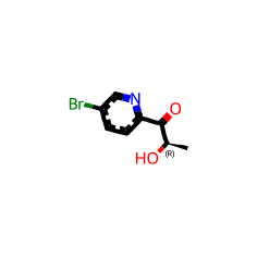 C[C@@H](O)C(=O)c1ccc(Br)cn1